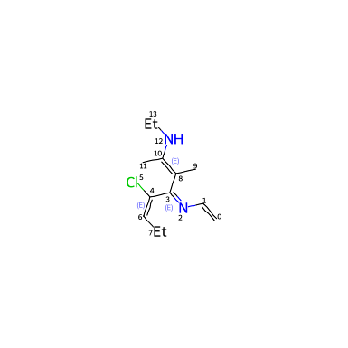 C=C/N=C(C(/Cl)=C\CC)\C(C)=C(/C)NCC